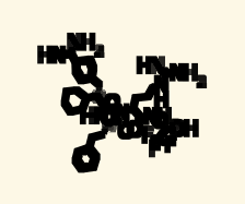 N=C(N)NCCCC(NC(=O)[C@H](CCc1ccccc1)NC(=O)[C@@H](Cc1ccc(C(=N)N)cc1)C1CCCCC1)C(N)=O.O=C(O)C(F)(F)F